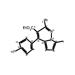 CCOC(=O)c1c(C(C)C)nn2c(C)ccc2c1-c1ccc(F)cc1